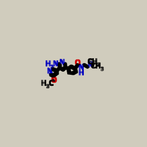 COc1cncc(-c2cc(-c3cccc(C(=O)NCCN(C)C)c3)cnc2N)c1